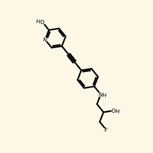 Oc1ccc(C#Cc2ccc(NCC(O)CF)cc2)cn1